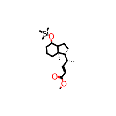 COC(=O)C=C[C@@H](C)[C@H]1CCC2C(O[Si](C)(C)C)CCC[C@@]21C